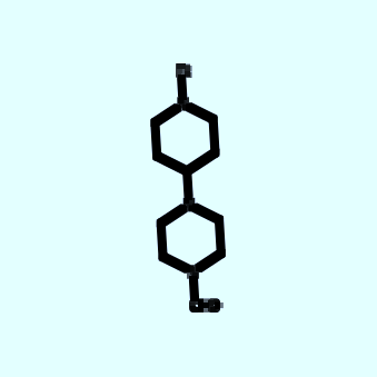 CCN1CCC(N2CCN([C]=O)CC2)CC1